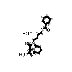 Cc1nc2cccc3n(CCCCNC(=O)c4ccccc4)c(=O)c1n23.Cl